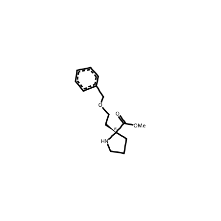 COC(=O)[C@]1(CCOCc2ccccc2)CCCN1